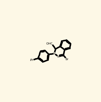 CC(C)c1ccc(N2N=C(Br)c3ccccc3C2C=O)cc1